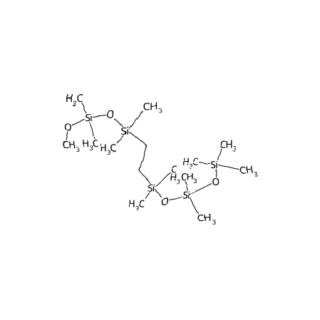 CO[Si](C)(C)O[Si](C)(C)CC[Si](C)(C)O[Si](C)(C)O[Si](C)(C)C